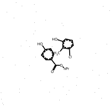 CCCOC(=O)c1ccc(O)cc1.Cc1c(O)cccc1Cl